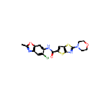 Cc1nc2cc(Cl)c(NC(=O)c3cc4sc(N5CCOCC5)nc4s3)cc2o1